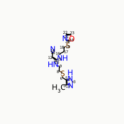 Cc1nc[nH]c1CSCCNC(=CC#N)NCCCSc1ncco1